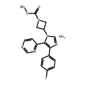 CC(C)(C)OC(=O)N1CC(n2cnc(-c3ccc(F)cc3)c2-c2ccncn2)C1.N